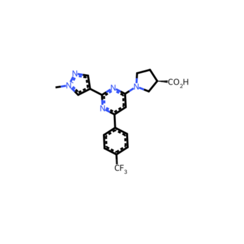 Cn1cc(-c2nc(-c3ccc(C(F)(F)F)cc3)cc(N3CC[C@@H](C(=O)O)C3)n2)cn1